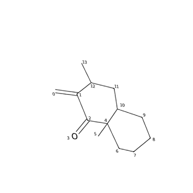 C=C1C(=O)C2(C)CCCCC2CC1C